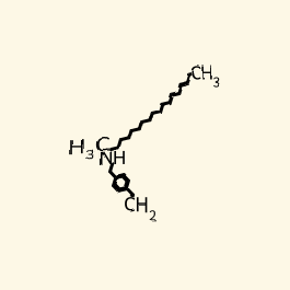 C=Cc1ccc(CCNC(C)CCCCCCCCCCCCCCCCC)cc1